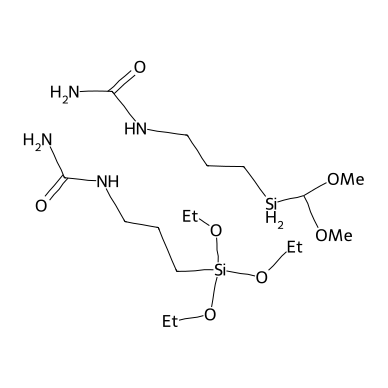 CCO[Si](CCCNC(N)=O)(OCC)OCC.COC(OC)[SiH2]CCCNC(N)=O